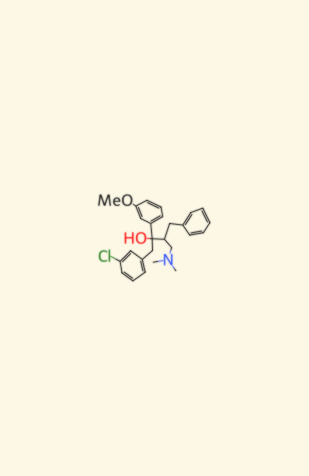 COc1cccc(C(O)(Cc2cccc(Cl)c2)C(Cc2ccccc2)CN(C)C)c1